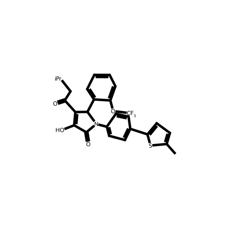 Cc1ccc(-c2ccc(N3C(=O)C(O)=C(C(=O)CC(C)C)C3c3ccccc3OC(F)(F)F)cc2)s1